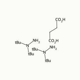 CC(C)(C)N(N)C(C)(C)C.CC(C)(C)N(N)C(C)(C)C.O=C(O)CCC(=O)O